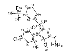 CNCc1cn(S(=O)(=O)c2cccc(C(F)(F)F)c2)c(-c2ccc(Cl)cc2F)c1OC